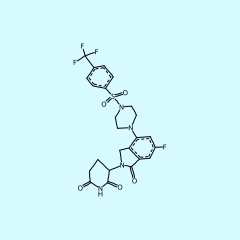 O=C1CCC(N2Cc3c(cc(F)cc3N3CCN(S(=O)(=O)c4ccc(C(F)(F)F)cc4)CC3)C2=O)C(=O)N1